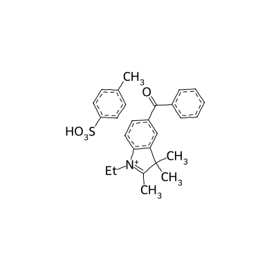 CC[N+]1=C(C)C(C)(C)c2cc(C(=O)c3ccccc3)ccc21.Cc1ccc(S(=O)(=O)O)cc1